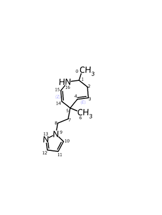 CC1C/C=C/C(C)(CCn2cccn2)/C=C\N1